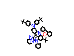 CC(C)(C)c1ccc(N(c2ccc(C(C)(C)C)cc2)c2ccc3c(c2)N(c2cccc4c2oc2ccccc24)c2cc(C(C)(C)C)cc4c2B3c2nc3ccccn3c2N4c2ccccc2)cc1